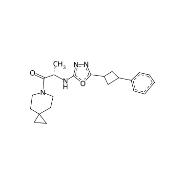 C[C@H](Nc1nnc(C2CC(c3ccccc3)C2)o1)C(=O)N1CCC2(CC1)CC2